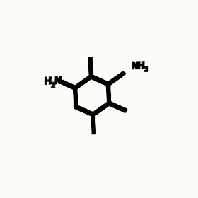 CC1CC(N)C(C)C(C)C1C.N